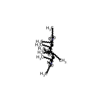 [C-]#[N+]/C(=C\c1cc(CCCCCCCC)c(-c2ccc(-c3sc(-c4sc(-c5cc(CCCCCCCC)c(-c6ccc(-c7sc(/C=C(\C#N)C(=O)OCCCCCCCC)cc7CCCCCCCC)s6)s5)c5c4C(=O)N(CC(CC)CCCC)C5=O)cc3CCCCCCCC)s2)s1)C(=O)OCCCCCCCC